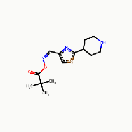 CC(C)(C)C(=O)O/N=C\c1csc(C2CCNCC2)n1